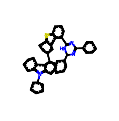 c1ccc(C2=NC(c3ccccc3)NC(c3cccc4sc5ccc(-c6cccc7c6c6ccccc6n7-c6ccccc6)cc5c34)=N2)cc1